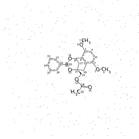 COc1ccc(OC)c2c1C[C@@]1(COC(C)=O)CC2OB(c2ccccc2)O1